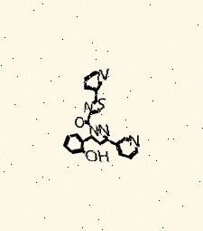 O=C(c1csc(-c2cccnc2)n1)N1N=C(c2cccnc2)CC1c1ccccc1O